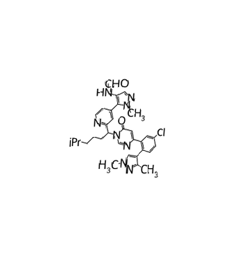 Cc1nn(C)cc1-c1ccc(Cl)cc1-c1cc(=O)n(C(CCCC(C)C)c2cc(-c3c(NC=O)cnn3C)ccn2)cn1